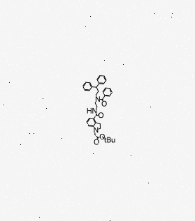 CC(C)(C)OC(=O)CN1CCc2c(C(=O)NCCN(CCC(c3ccccc3)c3ccccc3)C(=O)c3ccccc3)cccc21